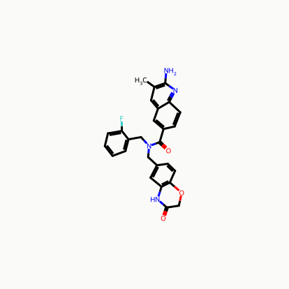 Cc1cc2cc(C(=O)N(Cc3ccc4c(c3)NC(=O)CO4)Cc3ccccc3F)ccc2nc1N